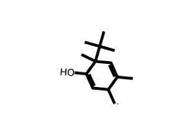 [CH2]C1C=C(O)C(C)(C(C)(C)C)C=C1C